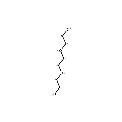 [O]CCOCCOCCCl